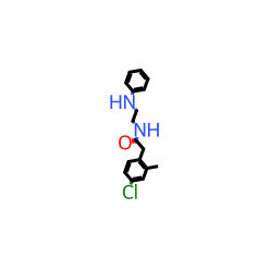 Cc1cc(Cl)ccc1CC(=O)NCCNc1ccccc1